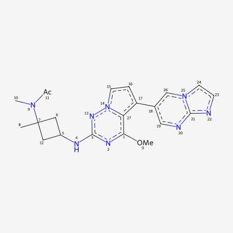 COc1nc(NC2CC(C)(N(C)C(C)=O)C2)nn2ccc(-c3cnc4nccn4c3)c12